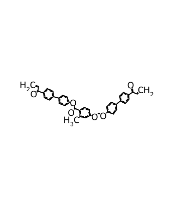 C=CC(=O)c1ccc(-c2ccc(OCOc3ccc(C(=O)Oc4ccc(-c5ccc(C(=O)C=C)cc5)cc4)c(C)c3)cc2)cc1